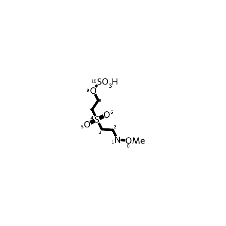 CO[N]CCS(=O)(=O)CCOS(=O)(=O)O